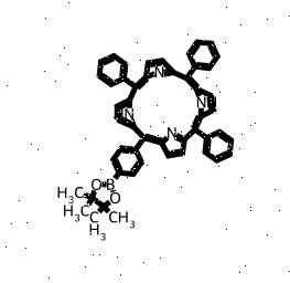 CC1(C)OB(c2ccc(-c3c4nc(c(-c5ccccc5)c5ccc([nH]5)c(-c5ccccc5)c5nc(c(-c6ccccc6)c6ccc3[nH]6)C=C5)C=C4)cc2)OC1(C)C